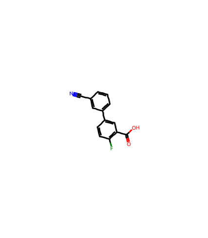 N#Cc1cccc(-c2ccc(F)c(C(=O)O)c2)c1